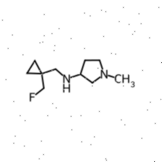 CN1CCC(NCC2(CF)CC2)C1